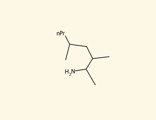 CCCC(C)CC(C)C(C)N